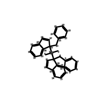 C[Si](C)(C1(Cc2ccccc2)C=Cc2ccccc21)C1(Cc2ccccc2)C=Cc2ccccc21